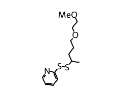 COCCOCCCC(C)SSc1ccccn1